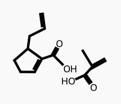 C=C(C)C(=O)O.C=CCC1CCC=C1C(=O)O